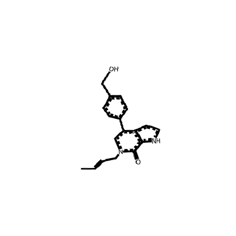 CC=CCn1cc(-c2ccc(CO)cc2)c2cc[nH]c2c1=O